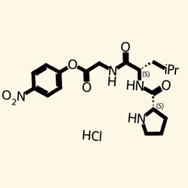 CC(C)C[C@H](NC(=O)[C@@H]1CCCN1)C(=O)NCC(=O)Oc1ccc([N+](=O)[O-])cc1.Cl